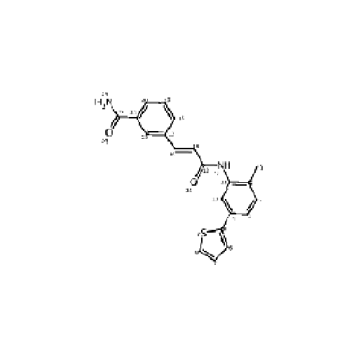 Cc1ccc(-c2cccs2)cc1NC(=O)/C=C/c1cccc(C(N)=O)c1